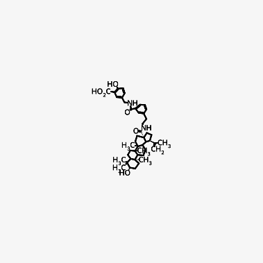 C=C(C)[C@@H]1CC[C@]2(C(=O)NCCc3cccc(C(=O)NCc4ccc(O)c(C(=O)O)c4)c3)CC[C@]3(C)C(CCC4[C@@]5(C)CC[C@H](O)C(C)(C)C5CC[C@]43C)C12